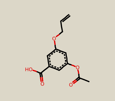 C=CCOc1cc(OC(C)=O)cc(C(=O)O)c1